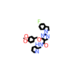 O=C(NCc1ccccn1)c1cnc(N2CCc3cc(F)ccc32)nc1OCc1ccc2c(c1)OCO2